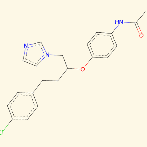 CC(=O)Nc1ccc(OC(CCc2ccc(Cl)cc2)Cn2ccnc2)cc1